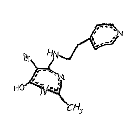 Cc1nc(O)c(Br)c(NCCc2ccncc2)n1